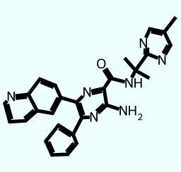 Cc1cnc(C(C)(C)NC(=O)c2nc(-c3ccc4ncccc4c3)c(-c3ccccc3)nc2N)nc1